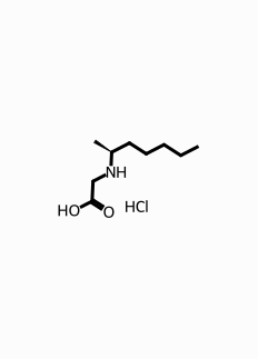 CCCCC[C@H](C)NCC(=O)O.Cl